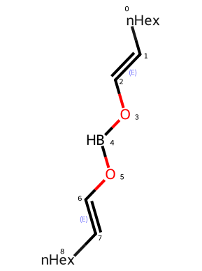 CCCCCC/C=C/OBO/C=C/CCCCCC